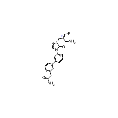 NC/C(=C\F)Cn1ncn(-c2cc(-c3ccnc(CC(N)=O)c3)ccn2)c1=O